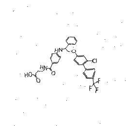 O=C(O)CCNC(=O)c1ccc(NC(COc2ccc(-c3ccc(C(F)(F)F)cc3)c(Cl)c2)c2ccccc2)cc1